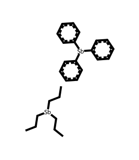 CC[CH2][Sb]([CH2]CC)[CH2]CC.c1cc[c]([Sb]([c]2ccccc2)[c]2ccccc2)cc1